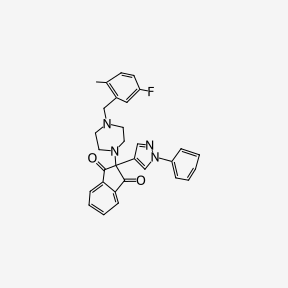 Cc1ccc(F)cc1CN1CCN(C2(c3cnn(-c4ccccc4)c3)C(=O)c3ccccc3C2=O)CC1